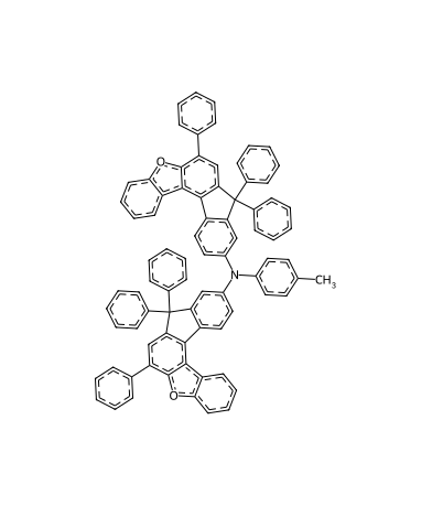 Cc1ccc(N(c2ccc3c(c2)C(c2ccccc2)(c2ccccc2)c2cc(-c4ccccc4)c4oc5ccccc5c4c2-3)c2ccc3c(c2)C(c2ccccc2)(c2ccccc2)c2cc(-c4ccccc4)c4oc5ccccc5c4c2-3)cc1